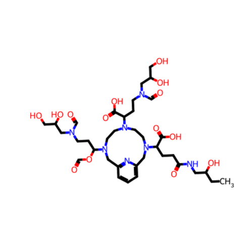 CCC(O)CNC(=O)CCC(C(=O)O)N1CCN(C(CCN(C=O)CC(O)CO)C(=O)O)CCN(C(CCN(C=O)CC(O)CO)OC=O)Cc2cccc(n2)C1